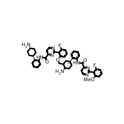 COc1cccc(F)c1-c1nccc(C(=O)Nc2ccccc2[C@H]2CC[C@@H](N)C(COc3cccc(F)c3-c3nccc(C(=O)Nc4ccccc4[C@H]4CC[C@H](N)CC4)n3)C2)n1